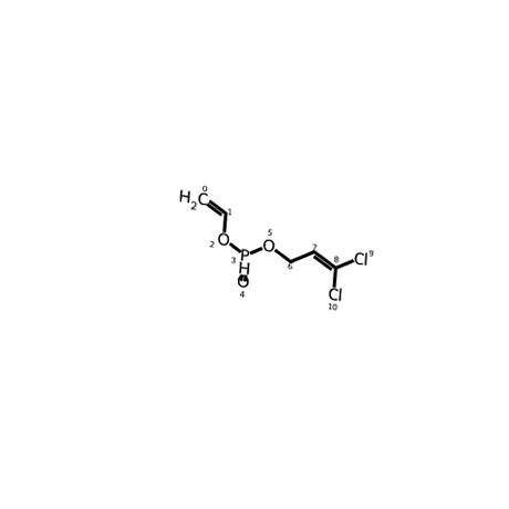 C=CO[PH](=O)OCC=C(Cl)Cl